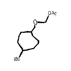 CC(=O)OCOC1CCC(C(C)(C)C)CC1